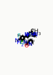 CC(Cn1ccc(-c2cc(F)c(C#N)c(Cl)c2)n1)[N@+]1(F)C=CN=C1.NC(=O)c1ccccn1